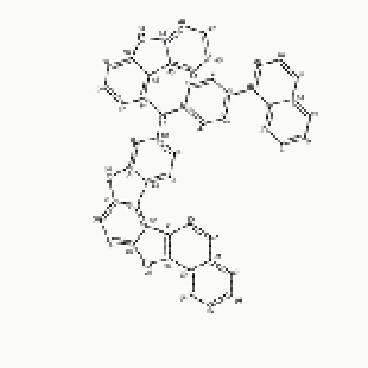 c1ccc2c(-c3ccc(N(c4ccc5c(c4)sc4ccc6oc7c8ccccc8ccc7c6c45)c4cccc5oc6ccccc6c45)cc3)cccc2c1